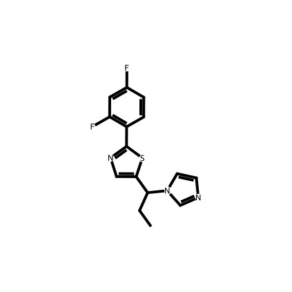 CCC(c1cnc(-c2ccc(F)cc2F)s1)n1ccnc1